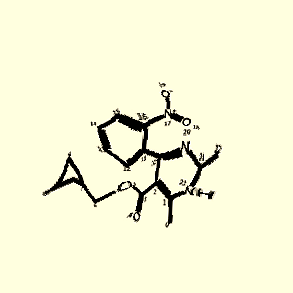 CC1=C(C(=O)OCC2CC2)C(c2ccccc2[N+](=O)[O-])=NC(C)N1